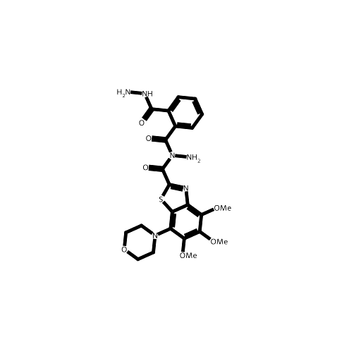 COc1c(OC)c(N2CCOCC2)c2sc(C(=O)N(N)C(=O)c3ccccc3C(=O)NN)nc2c1OC